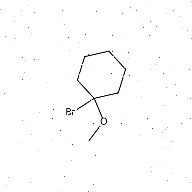 COC1(Br)CCCCC1